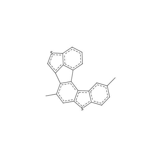 Cc1ccc2sc3cc(C)c4c(c3c2c1)-c1cccc2scc-4c12